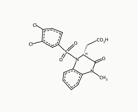 CN1C(=O)[C@@H](CC(=O)O)N(S(=O)(=O)c2ccc(Cl)c(Cl)c2)c2ccccc21